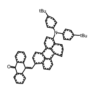 CC(C)(C)c1ccc(N(c2ccc(C(C)(C)C)cc2)c2ccc3c4ccc(C=C5c6ccccc6C(=O)c6ccccc65)c5cccc(c6cccc2c63)c54)cc1